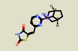 NCC1[C@@H]2CC[C@H]1CN(c1nccc(C=C3SC(=O)NC3=O)n1)C2